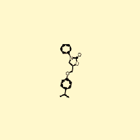 CC(C)c1ccc(OCC2CN(c3ccccc3)C(=O)O2)cc1